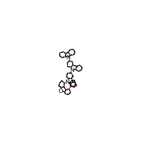 c1ccc(-c2cccc3oc4cccc(-n5c6ccccc6c6cc(-n7c8ccccc8c8cc(-n9c%10ccccc%10c%10ccccc%109)ccc87)ccc65)c4c23)cc1